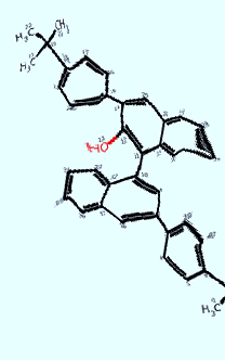 CC(C)(C)c1ccc(-c2cc(-c3c(O)c(-c4ccc(C(C)(C)C)cc4)cc4ccccc34)c3ccccc3c2)cc1